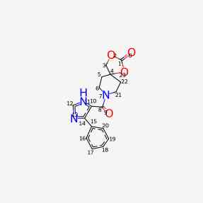 O=C1OCC2(CCN(C(=O)c3[nH]cnc3-c3ccccc3)CC2)O1